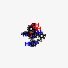 C(=C\c1ccccc1)/CN1CCNCC1.CCN1CCNCC1.CNCC(O)c1ccc(O)c(O)c1